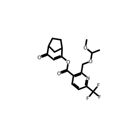 COC(C)OCc1nc(C(F)(F)F)ccc1C(=O)OC1=CC(=O)C2CCC1C2